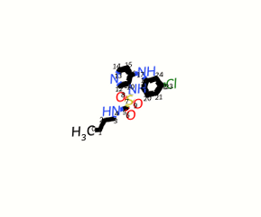 CCCCNC(=O)S(=O)(=O)Nc1cnccc1Nc1cccc(Cl)c1